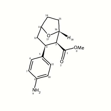 COC(=O)[C@H]1[C@@H](c2ccc(N)cc2)CC2CC[C@H]1O2